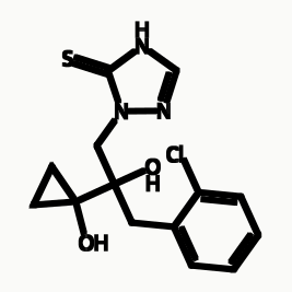 OC1(C(O)(Cc2ccccc2Cl)Cn2nc[nH]c2=S)CC1